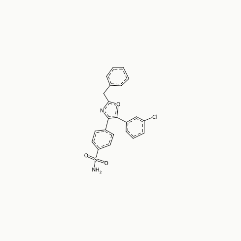 NS(=O)(=O)c1ccc(-c2nc(Cc3ccccc3)oc2-c2cccc(Cl)c2)cc1